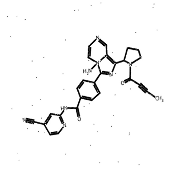 CC#CC(=O)N1CCCC1C1=C2C=NC=C[N+]2(N)C(c2ccc(C(=O)Nc3cc(C#N)ccn3)cc2)=N1